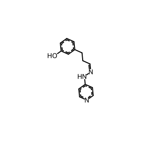 Oc1cccc(CC/C=N\Nc2ccncc2)c1